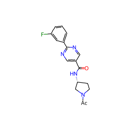 CC(=O)N1CC[C@@H](NC(=O)c2cnc(-c3cccc(F)c3)nc2)C1